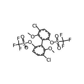 COc1c(Cl)ccc(OS(=O)(=O)C(F)(F)F)c1-c1c(OS(=O)(=O)C(F)(F)F)ccc(Cl)c1OC